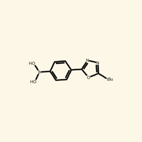 CC(C)(C)c1nnc(-c2ccc(B(O)O)cc2)o1